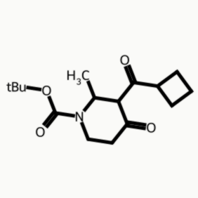 CC1C(C(=O)C2CCC2)C(=O)CCN1C(=O)OC(C)(C)C